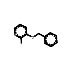 Fc1ncccc1OCc1ccccc1